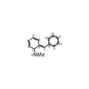 CNC1C=CC=CC1=Cc1ccccc1